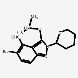 C[SiH](C)Oc1c2c(C=O)c(C(C)(C)C)ccc2nn1C1CCCCO1